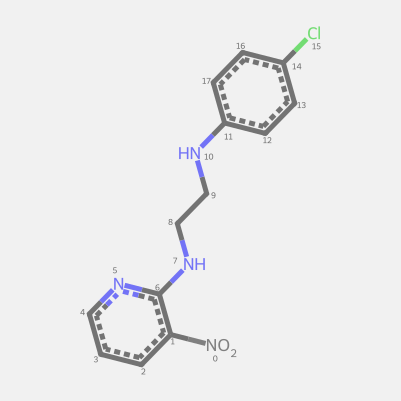 O=[N+]([O-])c1cccnc1NCCNc1ccc(Cl)cc1